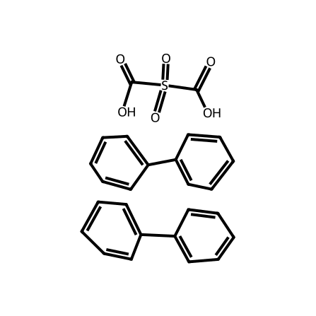 O=C(O)S(=O)(=O)C(=O)O.c1ccc(-c2ccccc2)cc1.c1ccc(-c2ccccc2)cc1